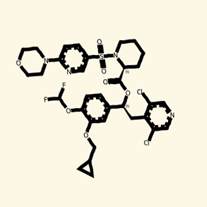 O=C(O[C@@H](Cc1c(Cl)cncc1Cl)c1ccc(OC(F)F)c(OCC2CC2)c1)[C@@H]1CCCCN1S(=O)(=O)c1ccc(N2CCOCC2)nc1